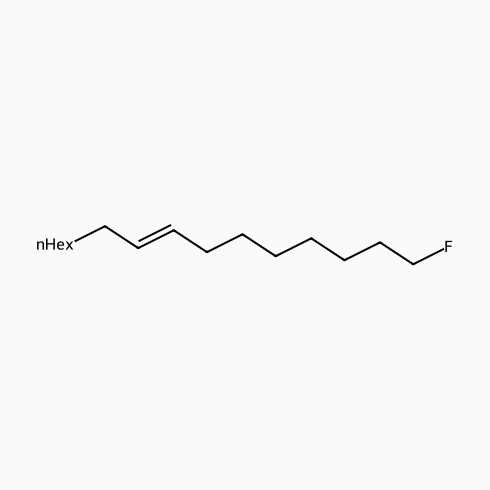 CCCCCCCC=CCCCCCCCF